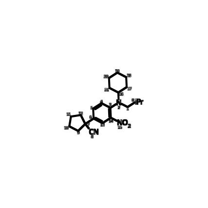 CC(C)CN(c1ccc(C2(C#N)CCCC2)cc1[N+](=O)[O-])C1CCCCC1